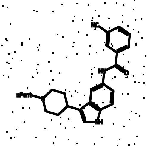 CCCCCN1CCC(c2c[nH]c3ccc(NC(=O)c4cccc(C#N)c4)cc23)CC1